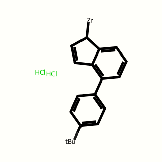 CC(C)(C)c1ccc(-c2cccc3c2C=C[CH]3[Zr])cc1.Cl.Cl